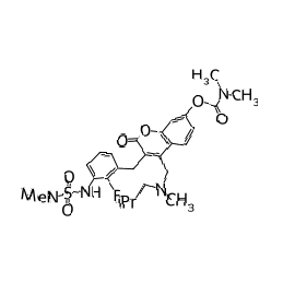 CNS(=O)(=O)Nc1cccc(Cc2c(CN(C)CC(C)C)c3ccc(OC(=O)N(C)C)cc3oc2=O)c1F